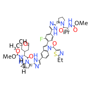 CCc1ncc(C2Oc3cc(-c4cnc([C@@H]5CCCN5C(=O)C(NC(=O)OC)C(C)C)[nH]4)cc(F)c3-c3cc4cc(-c5cnc([C@@H]6C[C@H]7C[C@H]7N6C(=O)C(NC(=O)OC)C6CCOC(C)(C)C6)[nH]5)ccc4n32)s1